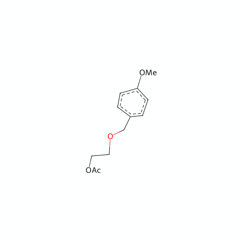 COc1ccc(COCCOC(C)=O)cc1